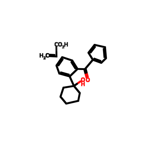 C=CC(=O)O.O=C(c1ccccc1)c1ccccc1C1(O)CCCCC1